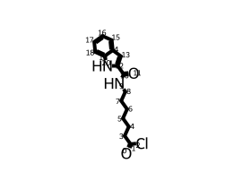 O=C(Cl)CCCCCCNC(=O)c1cc2ccccc2[nH]1